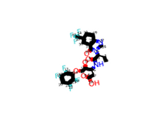 CC[C@@H](C(=O)N[C@@H](CC(=O)O)C(=O)COc1c(F)c(F)cc(F)c1F)n1cnc2ccc(C(F)(F)F)cc2c1=O